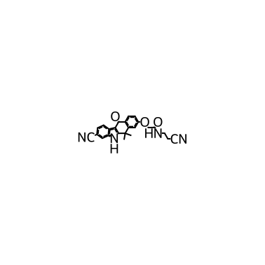 CC1(C)c2cc(OCC(=O)NCCC#N)ccc2C(=O)c2c1[nH]c1cc(C#N)ccc21